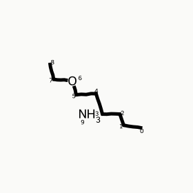 CCCCCCOCC.N